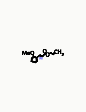 C=CCOC(=O)/C=C/c1ccccc1OC